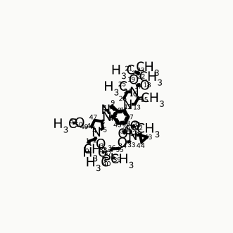 C=CC(=O)N1C[C@H](n2ncc3c(N4C[C@H](C)N(C(=O)OC(C)(C)C)[C@@H](C)C4)cc(S(=O)(=O)N(COCC[Si](C)(C)C)C4(C)CC4)cc32)C[C@H]1COC